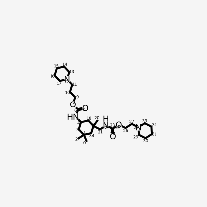 CC1(C)CC(NC(=O)OCCCN2CCCCC2)CC(C)(CNC(=O)OCCN2CCCCC2)C1